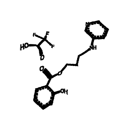 O=C(O)C(F)(F)F.O=C(OCCCNc1cccnc1)c1ccccc1O